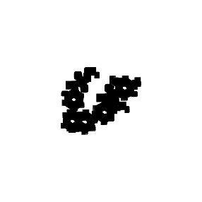 C=CS(=O)(=O)Nc1ccc(-c2ccnc3ccc(-c4cnc(C)c(NS(=O)(=O)c5ccc(F)cc5F)c4)cc23)cc1